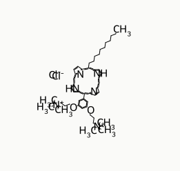 CCCCCCCCCCCc1c2nc(cc3ccc([nH]3)c(-c3cc(OCCC[N+](C)(C)C)cc(OCCC[N+](C)(C)C)c3)c3nc(cc4ccc1[nH]4)C=C3)C=C2.[Cl-].[Cl-]